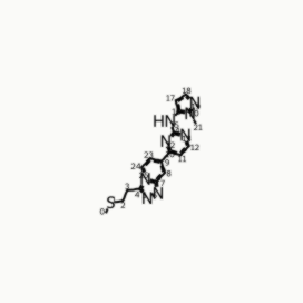 CSCCc1nnc2cc(-c3ccnc(Nc4ccnn4C)n3)ccn12